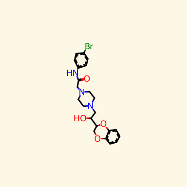 O=C(CN1CCN(CC(O)C2COc3ccccc3O2)CC1)Nc1ccc(Br)cc1